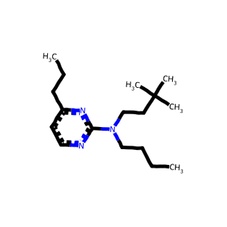 CCCCN(CCC(C)(C)C)c1nccc(CCC)n1